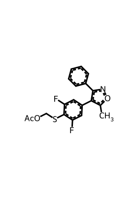 CC(=O)OCSc1c(F)cc(-c2c(-c3ccccc3)noc2C)cc1F